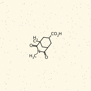 CN1C(=O)C2CC(C(=O)O)CC(C)(C2)C1=O